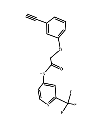 C#Cc1cccc(OCC(=O)Nc2ccnc(C(F)(F)F)c2)c1